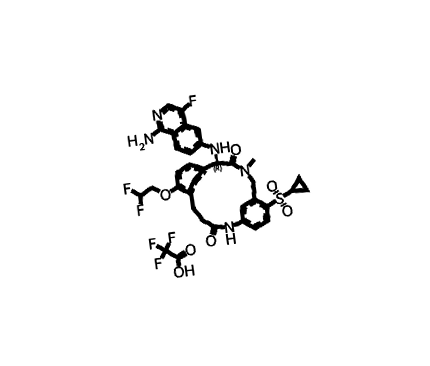 CN1Cc2cc(ccc2S(=O)(=O)C2CC2)NC(=O)CCc2cc(ccc2OCC(F)F)[C@@H](Nc2ccc3c(N)ncc(F)c3c2)C1=O.O=C(O)C(F)(F)F